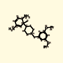 CC(C)Oc1cc(CN2CCC(C3(C)C=C(N)C=NC3N)CC2)cc(OC(C)C)c1